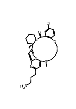 CN1CCCCOc2ccc(Cl)cc2C(=O)N2CCCC[C@H]2c2cc3nc(CCCN)cc1n3n2